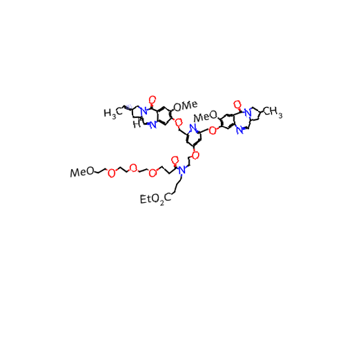 C/C=C1\C[C@H]2C=Nc3cc(OCc4cc(OCCN(CCCC(=O)OCC)C(=O)CCOCCOCCOCCOC)cc(COc5cc6c(cc5OC)C(=O)N5CC(C)CC5C=N6)n4)c(OC)cc3C(=O)N2C1